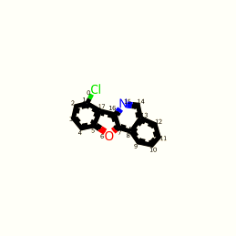 Clc1cccc2oc3c4ccccc4cnc3c12